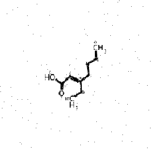 CCCCC(=CC(=O)O)CC